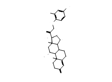 CC12CCC(=O)C=C1CCC1C2[C@@H](O)CC2(C)C1CC[C@]2(O)C(=O)COc1ccc(F)cc1F